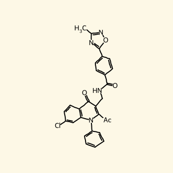 CC(=O)c1c(CNC(=O)c2ccc(-c3nc(C)no3)cc2)c(=O)c2ccc(Cl)cc2n1-c1ccccc1